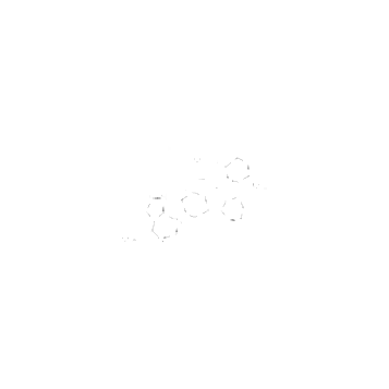 COc1ccccc1C(O[C@H]1C[C@H](n2nc(I)c3c(OC)ncnc32)O[C@@H]1CO)(c1ccccc1)c1ccccc1OC